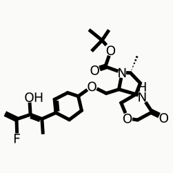 C=C(F)/C(O)=C(\C)C1=CCC(OCC2N(C(=O)OC(C)(C)C)[C@H](C)CC23COCC(=O)N3)CC1